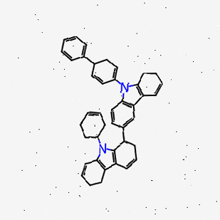 C1=Cc2c(c3c(n2[C@@H]2CC=CCC2)C(c2ccc4c(c2)c2c(n4C4=CCC(c5ccccc5)C=C4)CCC=C2)CC=C3)CC1